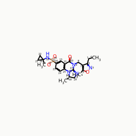 CCc1noc(C)c1CN1C(=O)c2cc(S(=O)(=O)NC3(C)CC3)ccc2N2C1=NC[C@H]2C